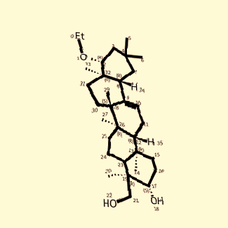 CCO[C@@H]1CC(C)(C)C[C@@H]2C3=CC[C@@H]4[C@@]5(C)CC[C@H](O)[C@@](C)(CO)C5CC[C@@]4(C)[C@]3(C)CC[C@]21C